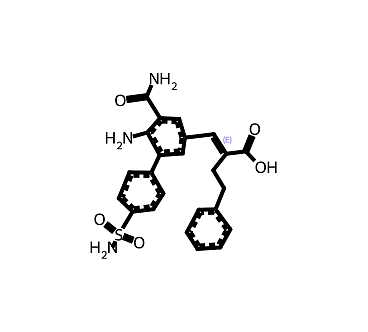 NC(=O)c1cc(/C=C(\CCc2ccccc2)C(=O)O)cc(-c2ccc(S(N)(=O)=O)cc2)c1N